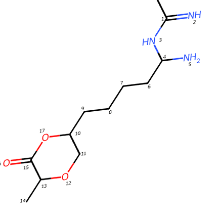 CC(=N)NC(N)CCCCC1COC(C)C(=O)O1